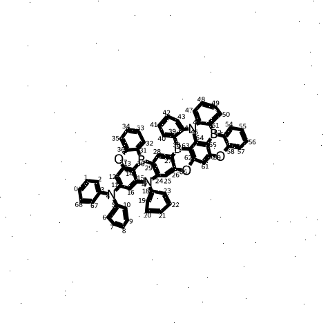 c1ccc(N(c2ccccc2)c2cc3c4c(c2)N(c2ccccc2)c2cc5c(cc2B4c2ccccc2O3)B2c3ccccc3N3c4ccccc4B4c6ccccc6Oc6cc(c2c3c64)O5)cc1